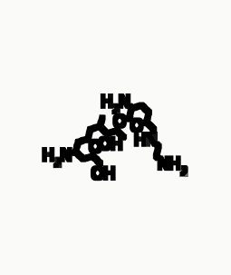 CC(CC1CC(N)CC(CO)O1)C(O)C(C)OC1OC(CNCCN)CCC1N